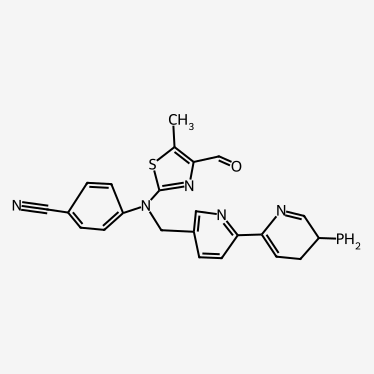 Cc1sc(N(Cc2ccc(C3=CCC(P)C=N3)nc2)c2ccc(C#N)cc2)nc1C=O